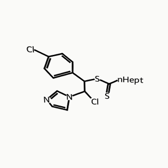 CCCCCCCC(=S)SC(c1ccc(Cl)cc1)C(Cl)n1ccnc1